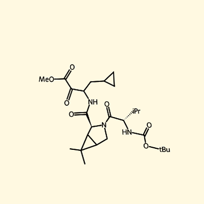 COC(=O)C(=O)C(CC1CC1)NC(=O)[C@@H]1C2C(CN1C(=O)[C@@H](NC(=O)OC(C)(C)C)C(C)C)C2(C)C